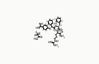 N=C(N)NCCCC(NC(=O)[C@H](Cc1ccccc1)NC(=O)[C@@H](Cc1ccc(C(=N)N)cc1)c1ccccc1)C(N)=O.O=C(O)C(F)(F)F